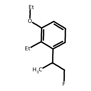 CCOc1cccc([C](C)CF)c1CC